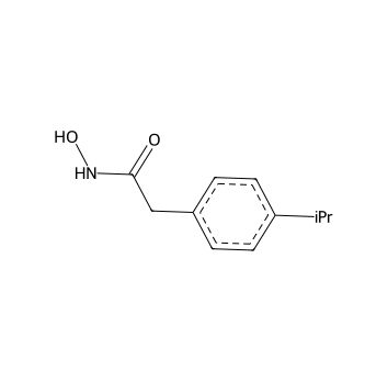 CC(C)c1ccc(CC(=O)NO)cc1